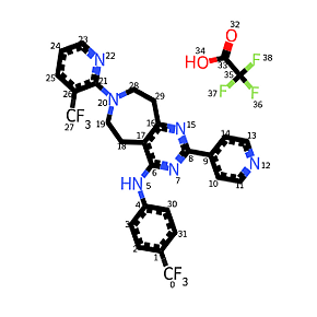 FC(F)(F)c1ccc(Nc2nc(-c3ccncc3)nc3c2CCN(c2ncccc2C(F)(F)F)CC3)cc1.O=C(O)C(F)(F)F